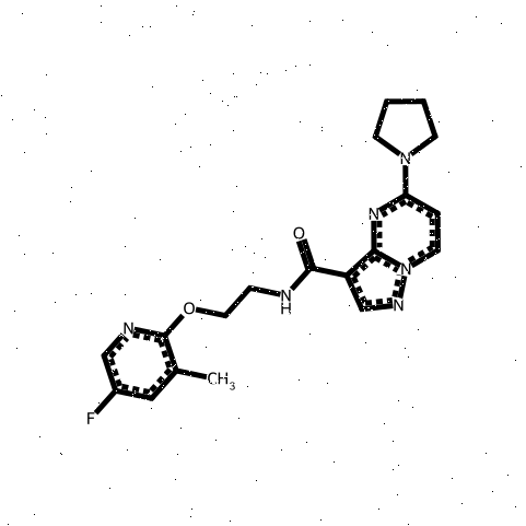 Cc1cc(F)cnc1OCCNC(=O)c1cnn2ccc(N3CCCC3)nc12